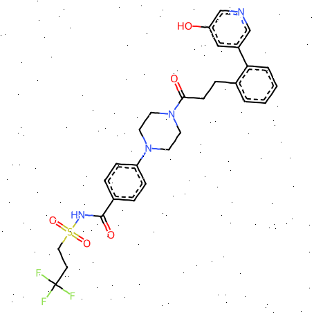 O=C(NS(=O)(=O)CCC(F)(F)F)c1ccc(N2CCN(C(=O)CCc3ccccc3-c3cncc(O)c3)CC2)cc1